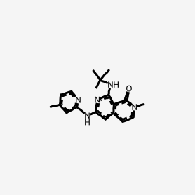 Cc1ccnc(Nc2cc3ccn(C)c(=O)c3c(NC(C)(C)C)n2)c1